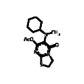 CC(=O)Oc1nc2n(c(=O)c1N(C)C1CCCCC1)CCS2